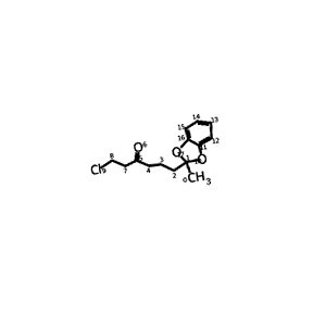 CC1(CCCC(=O)CCCl)Oc2ccccc2O1